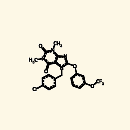 Cn1c(=O)c2c(nc(Oc3cccc(OC(F)(F)F)c3)n2Cc2ccc(Cl)cc2)n(C)c1=O